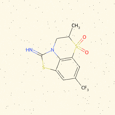 CC1Cn2c(=N)sc3cc(C(F)(F)F)cc(c32)S1(=O)=O